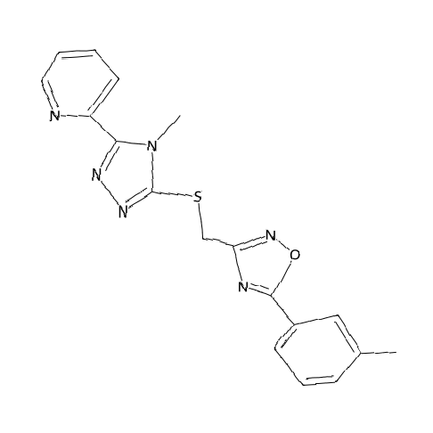 Cc1cccc(-c2nc(CSc3nnc(-c4ccccn4)n3C)no2)c1